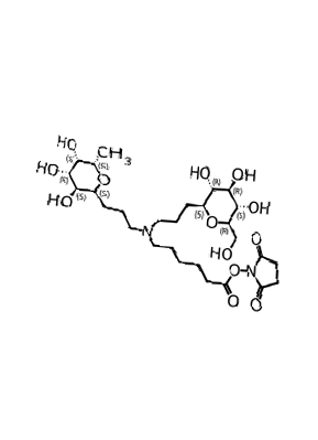 C[C@@H]1O[C@@H](CCCN(CCCCCC(=O)ON2C(=O)CCC2=O)CCC[C@@H]2O[C@H](CO)[C@@H](O)[C@H](O)[C@H]2O)[C@@H](O)[C@H](O)[C@@H]1O